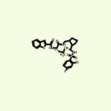 CC(C)C[C@H](NC(=O)c1cc2ccccc2s1)C(=O)NCC1CCCC1CNS(=O)(=O)c1ccc(F)cc1Cl